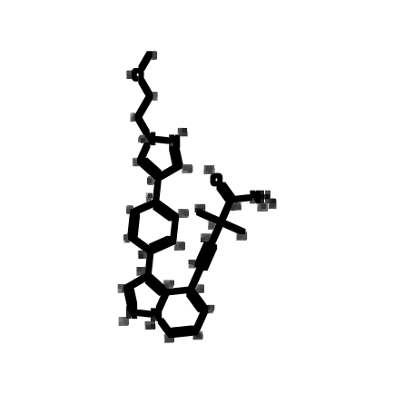 COCCn1cc(-c2ccc(-c3cnn4cccc(C#CC(C)(C)C(N)=O)c34)cc2)cn1